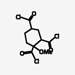 COC1(C(=O)Cl)CCC(C(=O)Cl)CC1C(=O)Cl